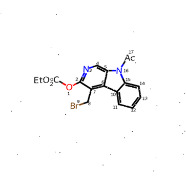 CCOC(=O)Oc1ncc2c(c1CBr)c1ccccc1n2C(C)=O